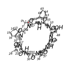 CC(C)C[C@H]1C(=O)N(C)[C@@H](Cc2ccccc2)C(=O)N(C)[C@@H](CC(C)C)C(=O)N[C@H](C)C(=O)N[C@H](C(C)C)C(=O)N[C@@H](C)C(=O)N[C@@H]([C@@H](C)O)C(=O)N(C)[C@@H](C)C(=O)N[C@@H](Cc2ccccc2)C(=O)N1C